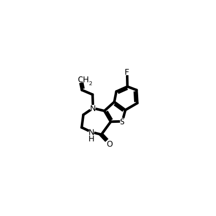 C=CCN1CCNC(=O)c2sc3ccc(F)cc3c21